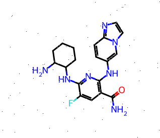 NC(=O)c1cc(F)c(NC2CCCCC2N)nc1Nc1ccc2nccn2c1